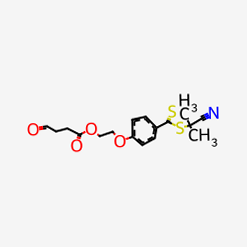 CC(C)(C#N)SC(=S)c1ccc(OCCOC(=O)CCC=O)cc1